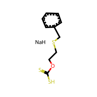 S=C(S)OCCSCc1ccccc1.[NaH]